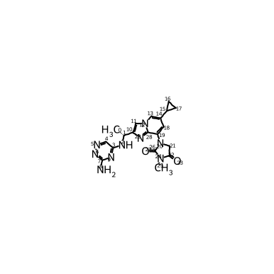 C[C@@H](Nc1cnnc(N)n1)c1cn2cc(C3CC3)cc(N3CC(=O)N(C)C3=O)c2n1